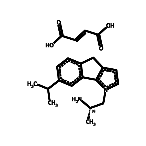 CC(C)c1ccc2c(c1)-c1c(ccn1C[C@H](C)N)C2.O=C(O)C=CC(=O)O